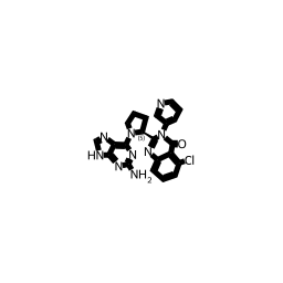 Nc1nc(N2CCC[C@H]2c2nc3cccc(Cl)c3c(=O)n2-c2cccnc2)c2nc[nH]c2n1